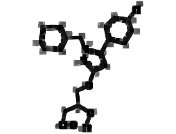 CCOC(CC=O)COc1cc(-c2ccc(Cl)cc2)n(Cc2ccccc2)n1